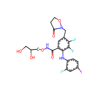 O=C(NOCC(O)CO)c1cc(CN2OCCC2=O)c(F)c(F)c1Nc1ccc(I)cc1F